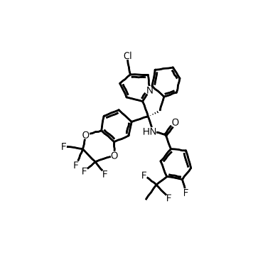 CC(F)(F)c1cc(C(=O)N[C@@](Cc2ccccc2)(c2ccc3c(c2)OC(F)(F)C(F)(F)O3)c2ccc(Cl)cn2)ccc1F